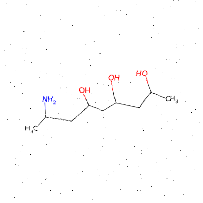 CC(N)CC(O)CC(O)CC(C)O